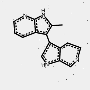 Cc1[nH]c2ncccc2c1-c1c[nH]c2cnccc12